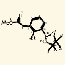 CCc1c(CC(=O)OC)cccc1B1OC(C)(C)C(C)(C)O1